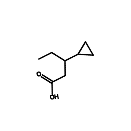 CCC(CC(=O)O)C1CC1